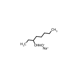 CCCCCC(O)CC.[Na+].[OH-]